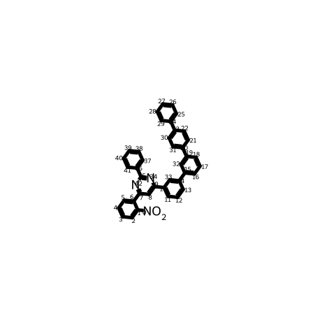 O=[N+]([O-])c1ccccc1-c1cc(-c2cccc(-c3cccc(-c4ccc(-c5ccccc5)cc4)c3)c2)nc(-c2ccccc2)n1